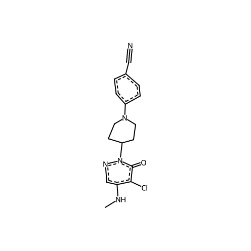 CNc1cnn(C2CCN(c3ccc(C#N)cc3)CC2)c(=O)c1Cl